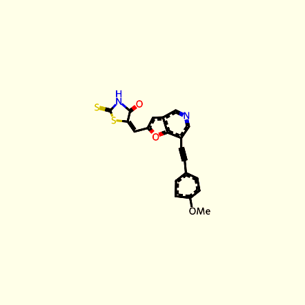 COc1ccc(C#Cc2cncc3cc(/C=C4/SC(=S)NC4=O)oc23)cc1